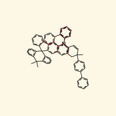 CC1(c2ccc(-c3ccccc3)cc2)C=CC(N(c2ccc3c(c2)-c2ccccc2C32c3ccccc3C(C)(C)c3ccccc32)c2ccccc2-c2ccccc2-c2ccccc2-c2ccccc2)=CC1